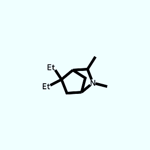 CCC1(CC)CC2CC1C(C)N2C